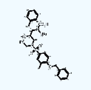 Cc1cc(S(=O)(=O)N(CC(C)C)C[C@@H](O)[C@H](Cc2ccccc2)N(C(=O)O)C(C)(C)C)ccc1OCc1ccccc1